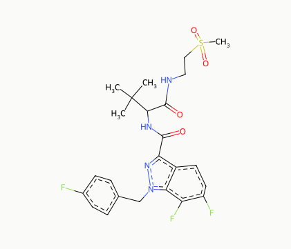 CC(C)(C)C(NC(=O)c1nn(Cc2ccc(F)cc2)c2c(F)c(F)ccc12)C(=O)NCCS(C)(=O)=O